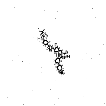 CC(C)(C)OC(=O)Nc1ccc(-c2nc(-c3ccc(CC(NC(=O)c4cccc(-c5ccc(C(F)(F)F)cc5)c4)C(=O)O)cc3F)no2)cc1